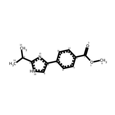 COC(=O)c1ccc(-c2c[nH]c(C(C)C)n2)cc1